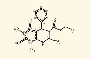 CCOC(=O)C1=C(C)Nc2c(c(=O)n(C)c(=O)n2C)C1c1ccccc1